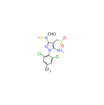 Nc1c(C[SH](=O)=O)c(N(S)C=O)nn1-c1c(Cl)cc(C(F)(F)F)cc1Cl